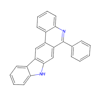 c1ccc(-c2nc3ccccc3c3cc4c(cc23)[nH]c2ccccc24)cc1